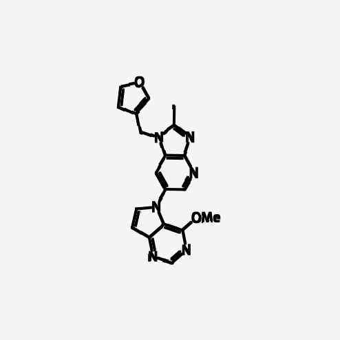 COc1ncnc2ccn(-c3cnc4nc(C)n(Cc5ccoc5)c4c3)c12